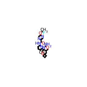 Cc1ccc(NC(=O)c2cnc(OC(C)F)cn2)nc1C12COC3(CCC3)CC1COC(N)=N2